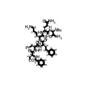 CCCC[C@H](NC(=O)[C@H](CCC(N)=O)NC(=O)[C@H](CCCCN)NC(=O)[C@@H](CCc1ccccc1)NC(=O)[C@H](CC(C)C)NC(=O)[C@H](CC(=O)O)NCc1ccccc1)C(N)=O